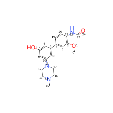 COc1cc(-c2cc(O)cc(N3CCN(C)CC3)c2)ccc1NC=O